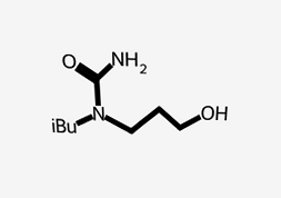 CCC(C)N(CCCO)C(N)=O